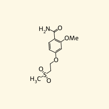 COc1cc(OCCS(C)(=O)=O)ccc1C(N)=O